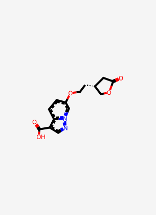 O=C1C[C@@H](CCOc2ccc3c(C(=O)O)cnn3c2)CO1